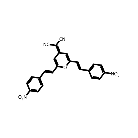 N#CC(C#N)=C1C=C(C=Cc2ccc([N+](=O)[O-])cc2)OC(C=Cc2ccc([N+](=O)[O-])cc2)=C1